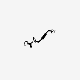 CC(=O)N(C)CC#CCBr